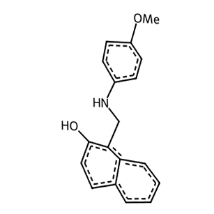 COc1ccc(NCc2c(O)ccc3ccccc23)cc1